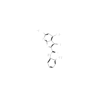 Cc1cc(C)c2c(C)c(C(=O)Nc3ccccc3O)sc2n1